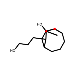 OCCCC1C2CCCC3CC(C2)CC1(O)C3